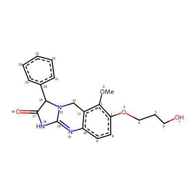 COc1c(OCCCO)ccc2c1CN1C(=N2)NC(=O)C1c1ccccc1